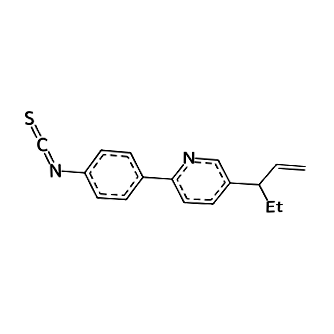 C=CC(CC)c1ccc(-c2ccc(N=C=S)cc2)nc1